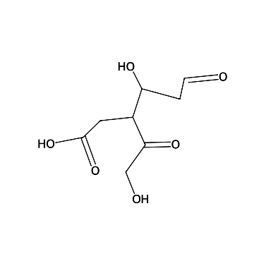 O=CCC(O)C(CC(=O)O)C(=O)CO